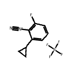 F[B-](F)(F)F.N#[N+]c1c(F)cccc1C1CC1